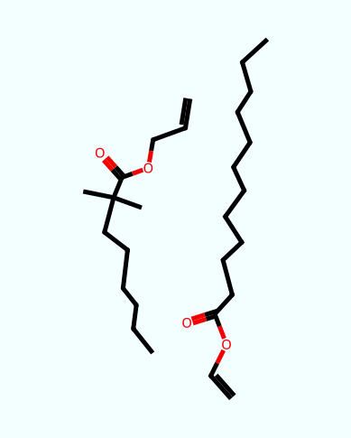 C=CCOC(=O)C(C)(C)CCCCCC.C=COC(=O)CCCCCCCCCCC